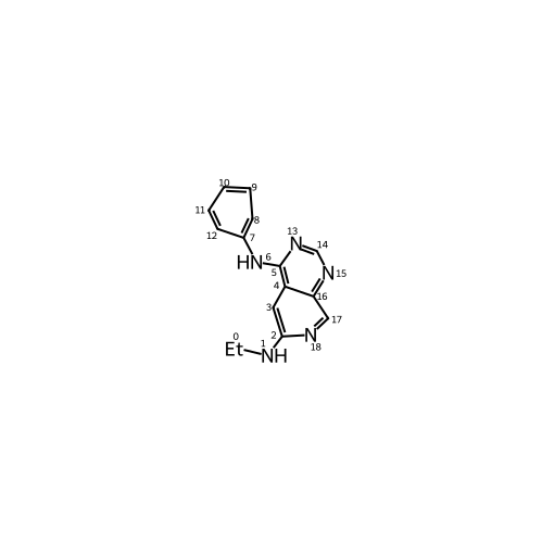 CCNc1cc2c(Nc3ccccc3)ncnc2cn1